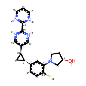 O[C@@H]1CCN(c2cc([C@@H]3C[C@H]3c3cnc(-c4ncccn4)nc3)ccc2F)C1